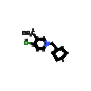 CCOC(=O)c1c[n+](Cc2ccccc2)ccc1Cl